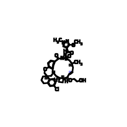 COc1nn(C)cc1C(=O)N[S@@]1(=O)=NC(=O)c2ccc3c(c2)N(C[C@@H]2CC[C@H]2[C@@H](OCCO)/C=C/C[C@H](C)C1)C[C@@]1(CCCc2cc(Cl)ccc21)CO3